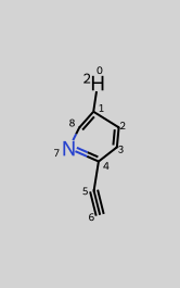 [2H]c1ccc(C#C)nc1